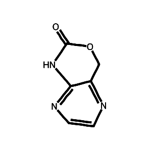 O=C1Nc2nccnc2CO1